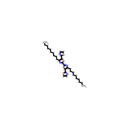 CCCCCCCCCCc1nc(-c2nc(CCCCCCCCCC)c(-c3nccs3)s2)sc1-c1nccs1